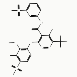 COc1c(Oc2nnc(C(F)(F)F)c(C)c2C(=O)Nc2cccc(S(C)(=O)=O)c2)ccc(S(C)(=O)=O)c1F